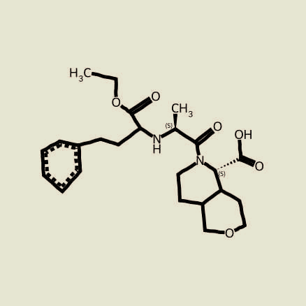 CCOC(=O)C(CCc1ccccc1)N[C@@H](C)C(=O)N1CCC2COCCC2[C@H]1C(=O)O